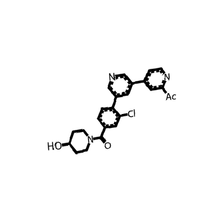 CC(=O)c1cc(-c2cncc(-c3ccc(C(=O)N4CCC(O)CC4)cc3Cl)c2)ccn1